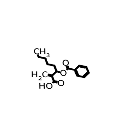 C=C(C(=O)O)C(CCCCC)OC(=O)c1ccccc1